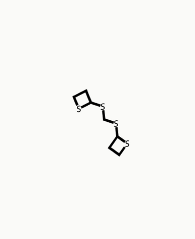 C1CC(SCSC2CCS2)S1